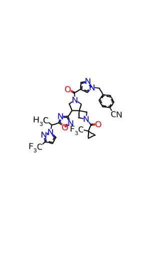 CC(c1nc(C2CN(C(=O)c3cnn(Cc4ccc(C#N)cc4)c3)CC23CN(C(=O)C2(C(F)(F)F)CC2)C3)no1)n1ccc(C(F)(F)F)n1